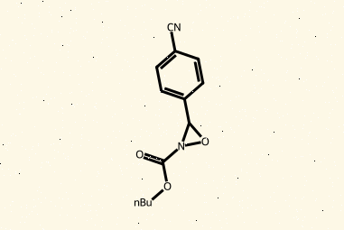 CCCCOC(=O)N1OC1c1ccc(C#N)cc1